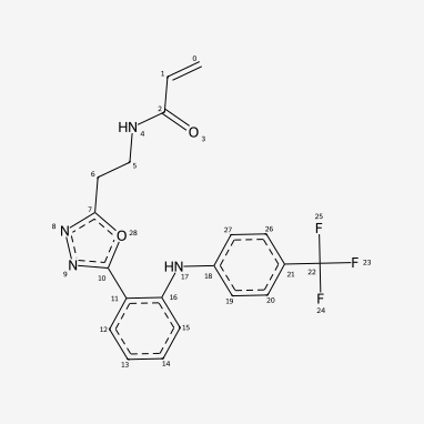 C=CC(=O)NCCc1nnc(-c2ccccc2Nc2ccc(C(F)(F)F)cc2)o1